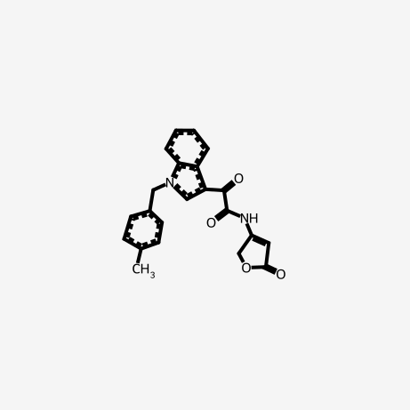 Cc1ccc(Cn2cc(C(=O)C(=O)NC3=CC(=O)OC3)c3ccccc32)cc1